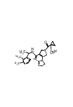 COC1(C(=O)N2CC3=C(C2)N2CCN=C2N=C3NC(C)c2cccc(C(F)(F)F)c2C)CC1